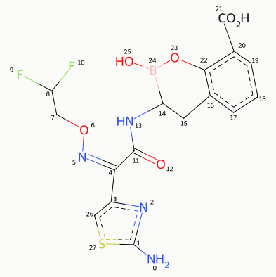 Nc1nc(C(=NOCC(F)F)C(=O)NC2Cc3cccc(C(=O)O)c3OB2O)cs1